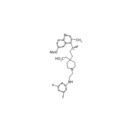 COc1ccc2ncc(C)c([C@@H](F)CCC3(CC(=O)O)CCN(CCNc4cc(F)cc(F)c4)CC3)c2c1